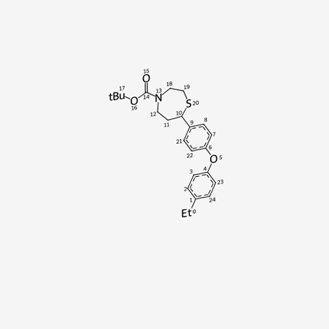 CCc1ccc(Oc2ccc(C3CCN(C(=O)OC(C)(C)C)CCS3)cc2)cc1